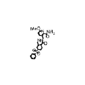 COc1ccc(Cn2ncc3cc(S(=O)(=O)c4ccccc4)ccc3c2=O)c(C(N)=O)n1